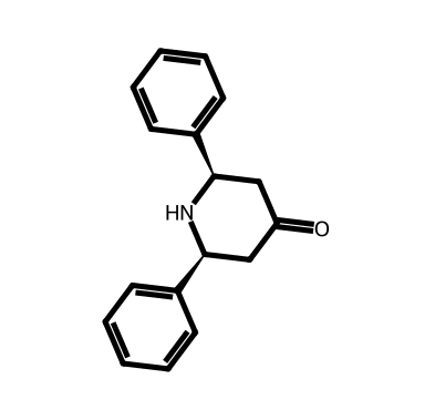 O=C1C[C@@H](c2ccccc2)N[C@@H](c2ccccc2)C1